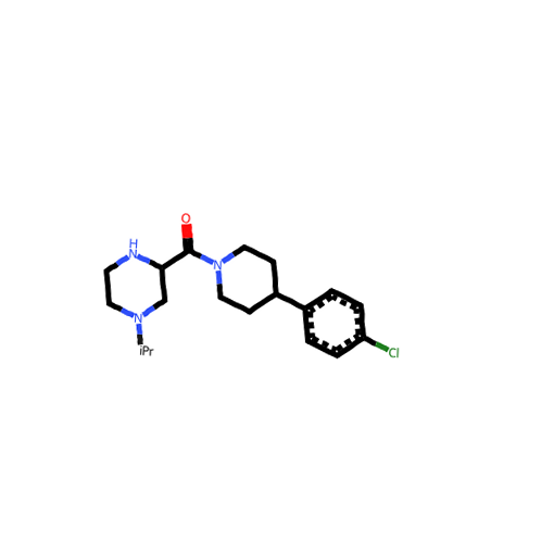 CC(C)N1CCNC(C(=O)N2CCC(c3ccc(Cl)cc3)CC2)C1